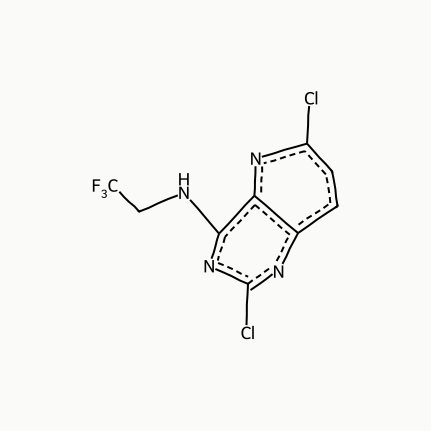 FC(F)(F)CNc1nc(Cl)nc2ccc(Cl)nc12